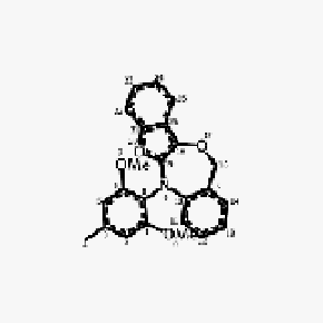 COc1cc(C)cc(OC)c1N1c2ccccc2COc2c1oc1ccccc21